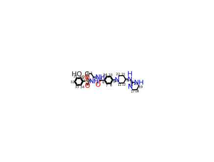 O=C(O)CC(NC(=O)c1ccc(N2CCC(NC3=NCCCN3)CC2)cc1)NS(=O)(=O)c1ccccc1